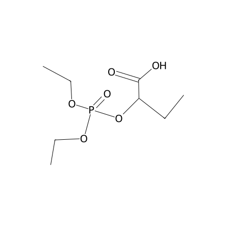 CCOP(=O)(OCC)OC(CC)C(=O)O